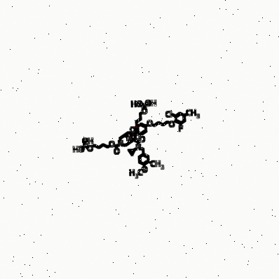 COc1ccc(CN(C(=O)C2=C(c3ccc(OCCCCOc4c(F)cc(C)cc4Cl)cc3)CC3CN(C(=O)OCCCCON(O)O)CC2N3C(=O)OCCCCON(O)O)C2CC2)cc1C